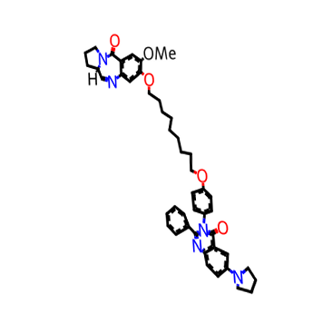 COc1cc2c(cc1OCCCCCCCCCOc1ccc(-n3c(-c4ccccc4)nc4ccc(N5CCCC5)cc4c3=O)cc1)N=C[C@@H]1CCCN1C2=O